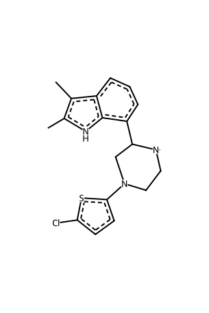 Cc1[nH]c2c(C3CN(c4ccc(Cl)s4)CC[N]3)cccc2c1C